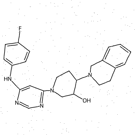 OC1CN(c2cc(Nc3ccc(F)cc3)ncn2)CCC1N1CCc2ccccc2C1